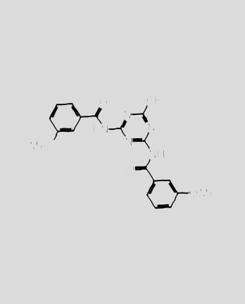 COc1cccc(C(=O)Nc2nc(C)nc(NC(=O)c3cccc(OC)c3)n2)c1